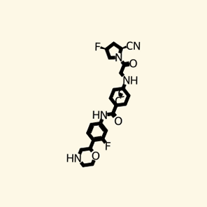 N#C[C@@H]1C[C@H](F)CN1C(=O)CNC12CCC(C(=O)Nc3ccc(C4CNCCO4)c(F)c3)(CC1)CC2